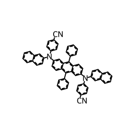 N#Cc1ccc(N(c2ccc3ccccc3c2)c2ccc3c(-c4ccccc4)c4cc(N(c5ccc(C#N)cc5)c5ccc6ccccc6c5)ccc4c(-c4ccccc4)c3c2)cc1